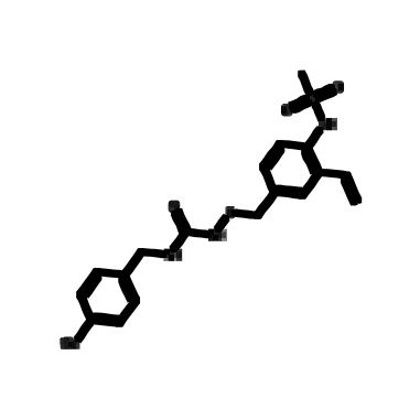 C=Cc1cc(CSNC(=O)NCc2ccc(C(C)(C)C)cc2)ccc1NS(C)(=O)=O